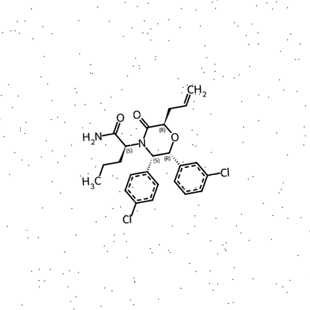 C=CC[C@H]1O[C@H](c2cccc(Cl)c2)[C@H](c2ccc(Cl)cc2)N([C@@H](CCC)C(N)=O)C1=O